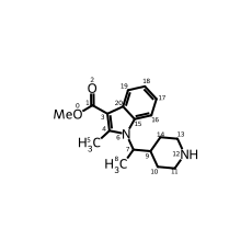 COC(=O)c1c(C)n(C(C)C2CCNCC2)c2ccccc12